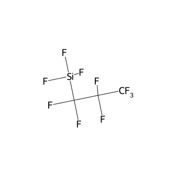 FC(F)(F)C(F)(F)C(F)(F)[Si](F)(F)F